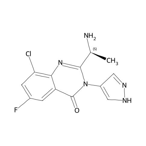 C[C@H](N)c1nc2c(Cl)cc(F)cc2c(=O)n1-c1cn[nH]c1